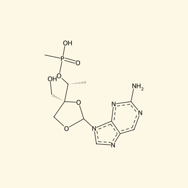 C[C@@H](OP(C)(=O)O)[C@]1(CO)COC(n2cnc3cnc(N)nc32)O1